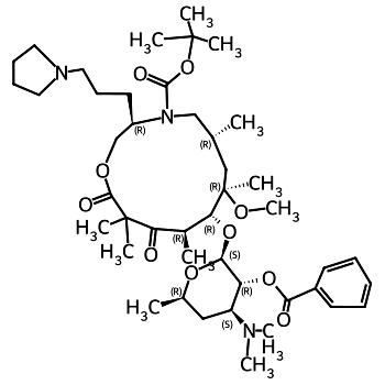 CO[C@]1(C)C[C@@H](C)CN(C(=O)OC(C)(C)C)[C@H](CCCN2CCCC2)COC(=O)C(C)(C)C(=O)[C@H](C)[C@H]1O[C@@H]1O[C@H](C)C[C@H](N(C)C)[C@H]1OC(=O)c1ccccc1